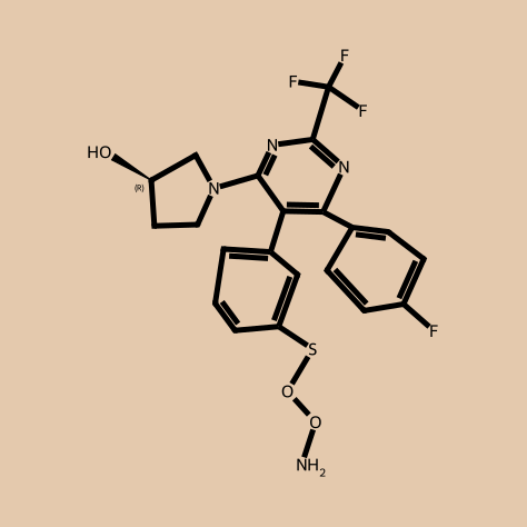 NOOSc1cccc(-c2c(-c3ccc(F)cc3)nc(C(F)(F)F)nc2N2CC[C@@H](O)C2)c1